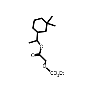 CCOC(=O)OCC(=O)OC(C)C1CCCC(C)(C)C1